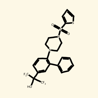 O=S(=O)(c1cccs1)N1CCN(c2ccc(C(O)(C(F)(F)F)C(F)(F)F)cc2-c2ccccc2)CC1